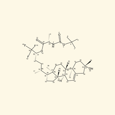 C[C@H](NC(=O)OC(C)(C)C)C(=O)O[C@H](CC[C@@H](C)[C@H]1CC[C@H]2[C@@H]3CC=C4C[C@@](C)(O)CC[C@]4(C)[C@H]3CC[C@]12C)C(F)(F)F